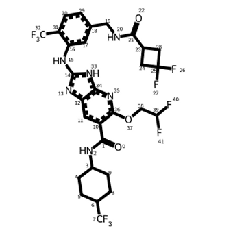 O=C(NC1CCC(C(F)(F)F)CC1)c1cc2nc(Nc3cc(CNC(=O)C4CC(F)(F)C4)ccc3C(F)(F)F)[nH]c2nc1OCC(F)F